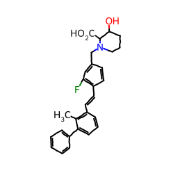 Cc1c(/C=C/c2ccc(CN3CCCC(O)C3C(=O)O)cc2F)cccc1-c1ccccc1